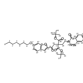 CCCCCCCOc1ccc2cc(C(=O)CC(CCn3nnc4ccccc4c3=O)(C(=O)OC(C)(C)C)C(=O)OC(C)(C)C)oc2c1